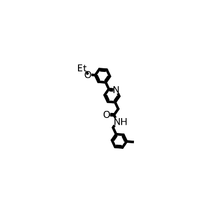 CCOc1cccc(-c2ccc(CC(=O)NCc3cccc(C)c3)cn2)c1